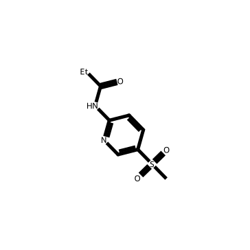 CCC(=O)Nc1ccc(S(C)(=O)=O)cn1